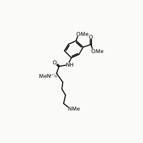 CNCCCC[C@H](NC)C(=O)Nc1ccc(OC)c(C(=O)OC)c1